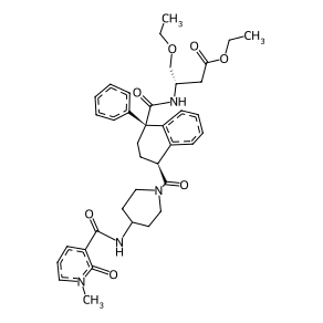 CCOC[C@H](CC(=O)OCC)NC(=O)[C@@]1(c2ccccc2)CC[C@H](C(=O)N2CCC(NC(=O)c3cccn(C)c3=O)CC2)c2ccccc21